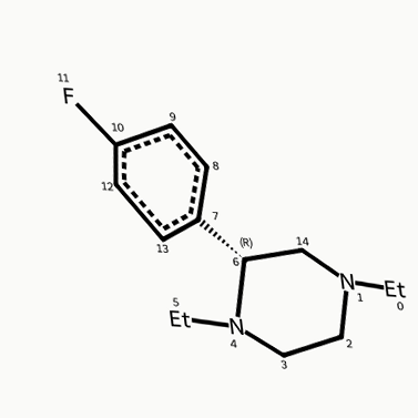 CCN1CCN(CC)[C@H](c2ccc(F)cc2)C1